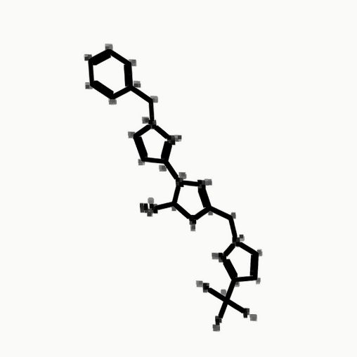 NC1SC(Cn2ccc(C(F)(F)F)n2)=NN1c1ccn(Cc2ccccc2)n1